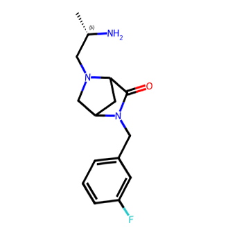 C[C@H](N)CN1CC2CC1C(=O)N2Cc1cccc(F)c1